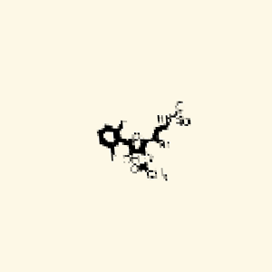 CC(=O)Oc1c(C(Br)CCN[SH](=O)=O)oc(-c2c(F)cccc2F)c1O